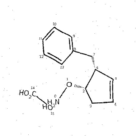 NO[C@H]1CC=C[C@H]1Cc1ccccc1.O=C(O)O